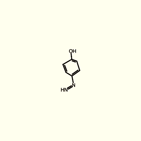 N=Nc1ccc(O)cc1